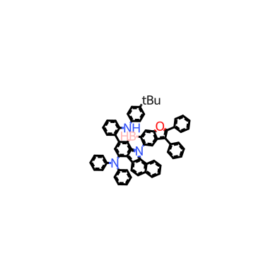 CC(C)(C)c1ccc(Nc2ccccc2-c2cc(N(c3ccccc3)c3ccccc3)c3c4ccc5ccccc5c4n4c3c2Bc2cc3oc(-c5ccccc5)c(-c5ccccc5)c3cc2-4)cc1